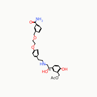 CC(=O)OCc1cc([C@@H](O)CNCCc2ccc(OCCOCc3cccc(C(N)=O)c3)cc2)ccc1O